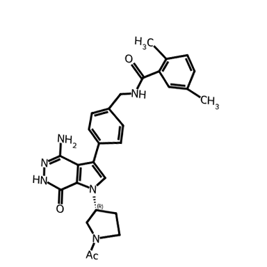 CC(=O)N1CC[C@@H](n2cc(-c3ccc(CNC(=O)c4cc(C)ccc4C)cc3)c3c(N)n[nH]c(=O)c32)C1